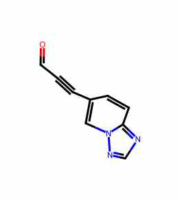 O=CC#Cc1ccc2ncnn2c1